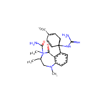 CC1CN(C)c2cccc(C3(NC(=N)N)C=CC(C(=O)[O-])=CC3)c2C(=O)[N+]1(C)C(N)=O